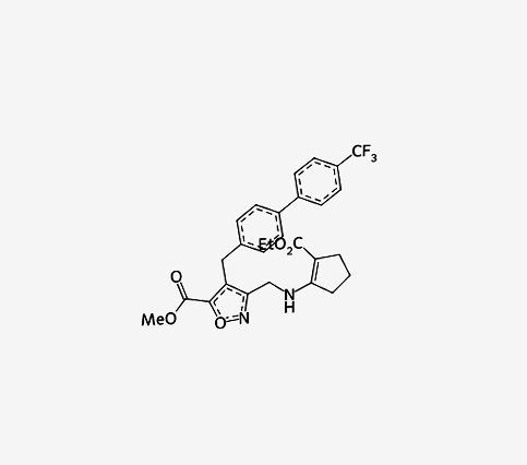 CCOC(=O)C1=C(NCc2noc(C(=O)OC)c2Cc2ccc(-c3ccc(C(F)(F)F)cc3)cc2)CCC1